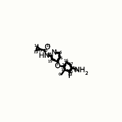 Cc1c(Oc2ccnc(NC(=O)C3CC3)c2)ccc(N)c1F